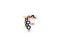 CC1C[C@H]2[C@@H]3C[C@H](F)C4=CC(=O)C=C[C@]4(C)[C@@]3(F)[C@@H](O)C[C@]2(C)[C@]1(OC(=O)c1ccc(C(F)(F)F)o1)C(=O)S